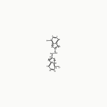 Cc1cccc2nc(SSc3nc4cccc(C)c4s3)sc12